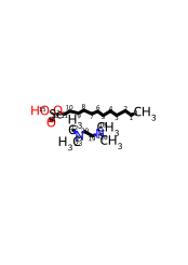 CCCCCCCCCCCCO[Se](=O)O.CN(C)CCN(C)C